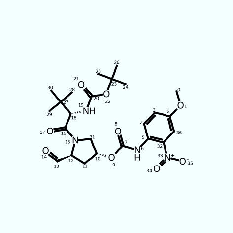 COc1ccc(NC(=O)O[C@@H]2C[C@@H](C=O)N(C(=O)[C@@H](NC(=O)OC(C)(C)C)C(C)(C)C)C2)c([N+](=O)[O-])c1